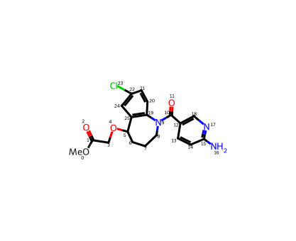 COC(=O)COC1CCCN(C(=O)c2ccc(N)nc2)c2ccc(Cl)cc21